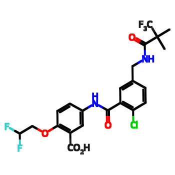 CC(C)(C(=O)NCc1ccc(Cl)c(C(=O)Nc2ccc(OCC(F)F)c(C(=O)O)c2)c1)C(F)(F)F